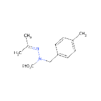 CCOC(=O)N(Cc1ccc(C)cc1)N=C(C)C